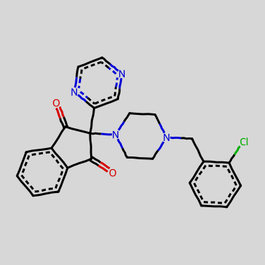 O=C1c2ccccc2C(=O)C1(c1cnccn1)N1CCN(Cc2ccccc2Cl)CC1